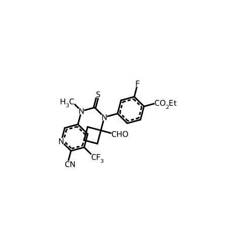 CCOC(=O)c1ccc(N(C(=S)N(C)c2cnc(C#N)c(C(F)(F)F)c2)C2(C=O)CCC2)cc1F